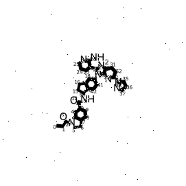 C=CC(=O)N1CCc2ccc(C(=O)N[C@H]3CCc4cc(-n5c(-c6cccnc6N)nc6ccc(-n7cccn7)nc65)ccc43)cc21